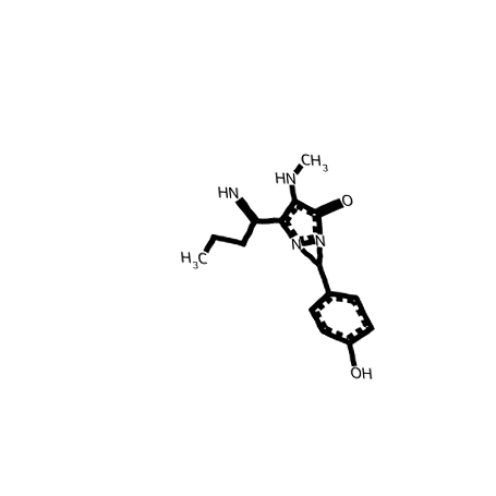 CCCC(=N)c1c(NC)c(=O)n2n1C2c1ccc(O)cc1